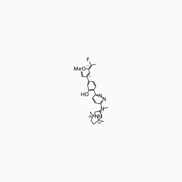 C=C/C(=C\C(OC)=C(/C)F)c1ccc(-c2ccc(N(C)[C@H]3C[C@]4(C)CC[C@](C)(C3)N4)nn2)c(O)c1